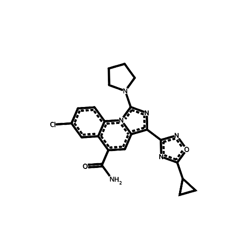 NC(=O)c1cc2c(-c3noc(C4CC4)n3)nc(N3CCCC3)n2c2ccc(Cl)cc12